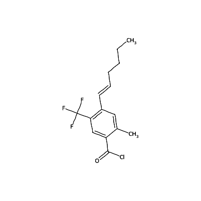 CCCCC=Cc1cc(C)c(C(=O)Cl)cc1C(F)(F)F